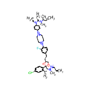 C=C/C=N\N(C)CC1(c2ccc(Cl)cc2C)OCC(CCc2ccc(N3CCN(c4ccc(N(C=C)C(=C)N(C)C(C)CC)cc4)CC3)c(F)c2)O1